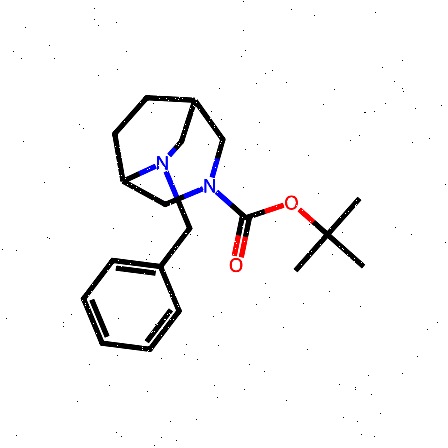 CC(C)(C)OC(=O)N1CC2CCC(C1)N(Cc1ccccc1)C2